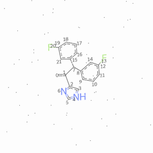 C=C(c1c[nH]cn1)C(c1cccc(F)c1)c1cccc(F)c1